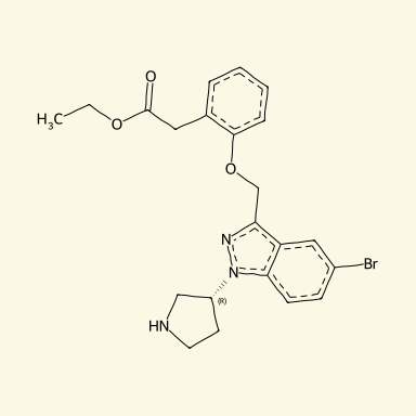 CCOC(=O)Cc1ccccc1OCc1nn([C@@H]2CCNC2)c2ccc(Br)cc12